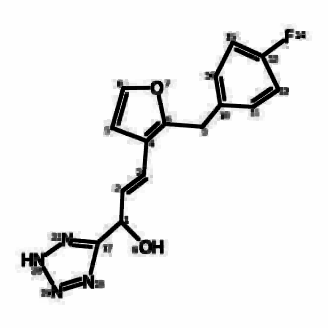 OC(C=Cc1ccoc1Cc1ccc(F)cc1)c1nn[nH]n1